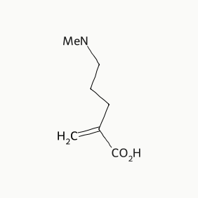 C=C(CCCNC)C(=O)O